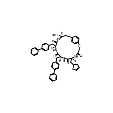 O=C1COc2ccc(cc2)C[C@@H](C(=O)O)NC(=O)[C@@H](Cc2ccc(-c3ccccc3)cc2)NC(=O)[C@H](Cc2ccc(-c3ccccc3)cc2)NC(=O)[C@@H](CC2CC=CS2)N1